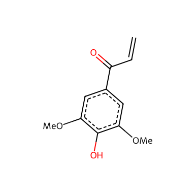 C=CC(=O)c1cc(OC)c(O)c(OC)c1